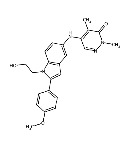 COc1ccc(-c2cc3cc(Nc4cnn(C)c(=O)c4C)ccc3n2CCO)cc1